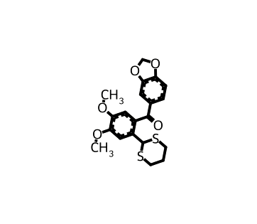 COc1cc(C(=O)c2ccc3c(c2)OCO3)c(C2SCCCS2)cc1OC